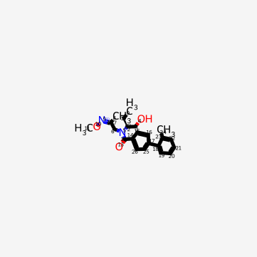 CC[C@@H](CO)N(C/C(C)=N\OC)C(=O)c1ccc(-c2ccccc2C)cc1